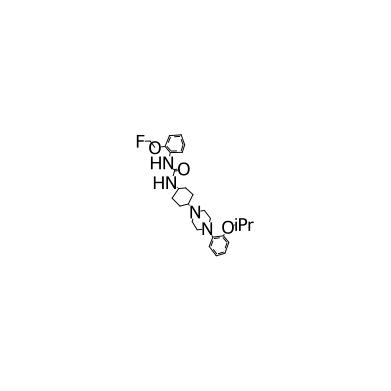 CC(C)Oc1ccccc1N1CCN([C@H]2CC[C@@H](NC(=O)Nc3ccccc3OCF)CC2)CC1